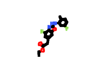 CCOC(=O)Cc1cc(F)c2nc(Nc3cc(F)ccc3C)oc2c1